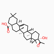 CC(=O)[C@]1(O)CC[C@]2(C)[C@H]3CC=C4[C@@H]5CC(C)(C)CC[C@]5(C(=O)O)CC[C@@]4(C)[C@]3(C)CC[C@H]2C1(C)C